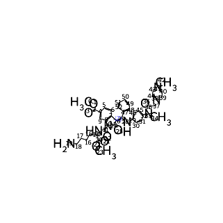 COC(=O)c1ccc2c(c1)N(C(=O)NC(CCCCN)C(=O)OC)C(=O)/C2=C(\Nc1ccc(N(C)C(=O)CN2CCN(C)CC2)cc1)c1ccccc1